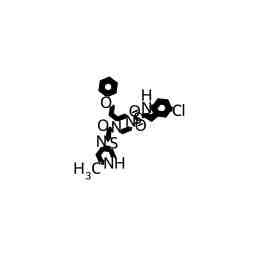 CC1Cc2nc(C(=O)N3CCN(S(=O)(=O)c4cc5cc(Cl)ccc5[nH]4)CC3CCOc3ccccc3)sc2CN1